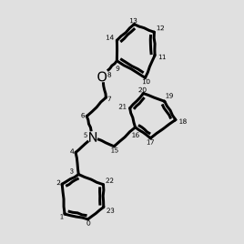 c1ccc(CN(CCOc2ccccc2)Cc2ccccc2)cc1